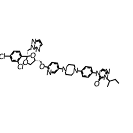 CCC(C)n1ncn(-c2ccc(N3CCN(c4ccc(OC[C@@H]5CO[C@@](Cn6nccn6)(c6ccc(Cl)cc6Cl)O5)nc4)CC3)cc2)c1=O